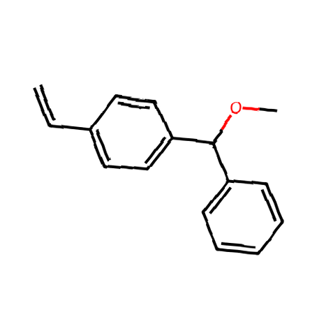 C=Cc1ccc([C](OC)c2ccccc2)cc1